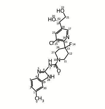 Cc1ccc2nc(NC(=O)N3CCC(F)(c4ncc([C@H](O)CO)cc4Cl)CC3)[nH]c2c1